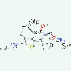 C#CCNCc1ccc(OC(C)=O)c(C(=O)N(CONC=O)C(CS)C(=O)OCC)c1